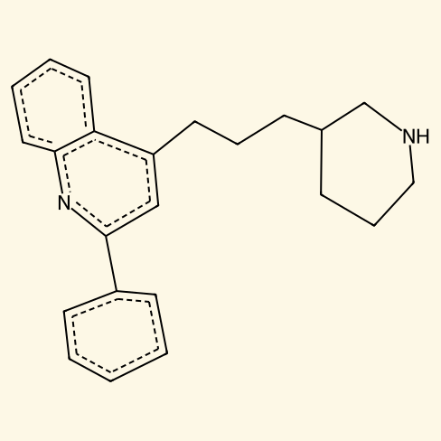 c1ccc(-c2cc(CCCC3CCCNC3)c3ccccc3n2)cc1